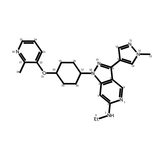 CCNc1cc2c(cn1)c(-c1cnn(C)c1)nn2C1CCC(Oc2cccnc2C)CC1